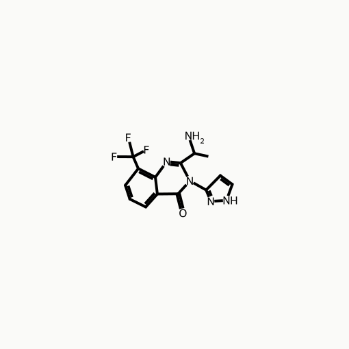 CC(N)c1nc2c(C(F)(F)F)cccc2c(=O)n1-c1cc[nH]n1